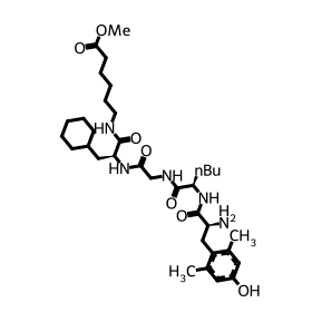 CCCC[C@@H](NC(=O)[C@@H](N)Cc1c(C)cc(O)cc1C)C(=O)NCC(=O)N[C@@H](CC1CCCCC1)C(=O)NCCCCCC(=O)OC